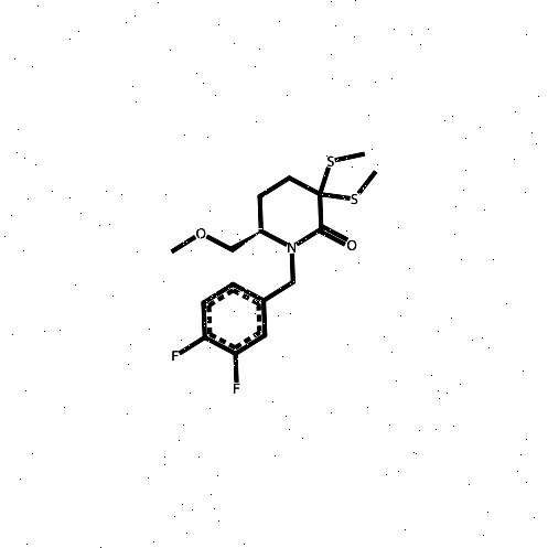 COC[C@H]1CCC(SC)(SC)C(=O)N1Cc1ccc(F)c(F)c1